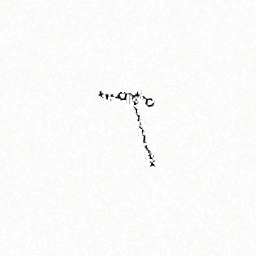 CC(C)(C)OC(=O)COc1ccc(CC(NC(=O)CCOCCOCCOCCOCCNC(=O)OC(C)(C)C)C(=O)OCc2ccccc2)cc1